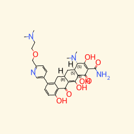 CN(C)CCOCc1ccc(-c2ccc(O)c3c2C[C@H]2C[C@H]4[C@H](N(C)C)C(O)=C(C(N)=O)C(=O)[C@@]4(O)C(O)=C2C3=O)cn1